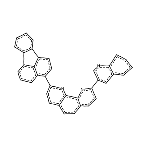 c1ccc2c(c1)-c1cccc3c(-c4ccc5ccc6ccc(-c7cnc8ccccc8c7)nc6c5n4)ccc-2c13